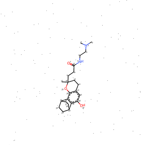 CN(C)CCNC(=O)CCC1(C)CCc2cc(O)c3c(c2O1)C1CCC3CC1